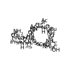 CC[C@H](C)[C@@H]1NC(=O)[C@H](Cc2ccc(O)cc2)NC(=O)[C@@H](N)CSSC[C@@H](C(=O)N2CCC[C@H]2C(=O)N[C@@H](CC(C)C)C(=O)NCC(N)=O)NC(=O)[C@H](CC(C)=O)NC(=O)[C@H](CCC(C)=O)NC1=O